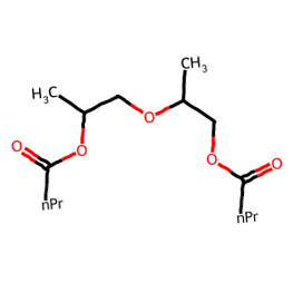 CCCC(=O)OCC(C)OCC(C)OC(=O)CCC